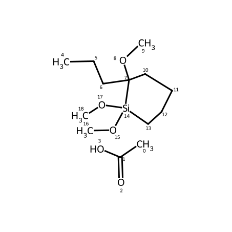 CC(=O)O.CCCC1(OC)CCCC[Si]1(OC)OC